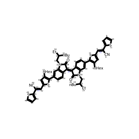 CCCCCCc1cc(/C=C(\C#N)c2cccs2)sc1-c1ccc2c(c1)N(CC(CC)CCCC)C(=O)/C2=C1/C(=O)N(CC(CC)CCCC)c2cc(-c3sc(/C=C(\C#N)c4cccs4)cc3CCCCCC)ccc21